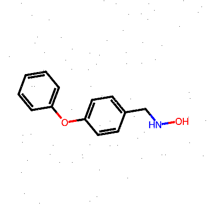 ONCc1ccc(Oc2ccccc2)cc1